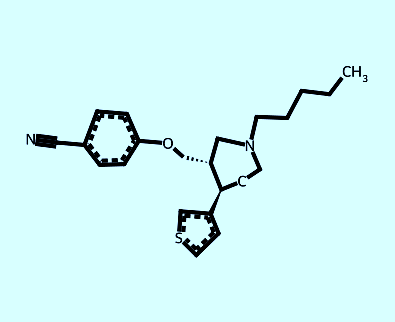 CCCCCN1CC[C@@H](c2ccsc2)[C@H](COc2ccc(C#N)cc2)C1